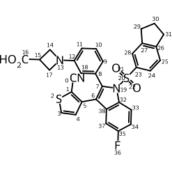 N#Cc1sccc1-c1c(-c2cccc(N3CC(C(=O)O)C3)c2)n(S(=O)(=O)c2ccc3c(c2)CCC3)c2ccc(F)cc12